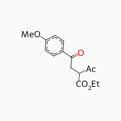 CCOC(=O)C(CC(=O)c1ccc(OC)cc1)C(C)=O